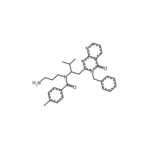 Cc1ccc(C(=O)N(CCCN)C(Cc2nc3ncccc3c(=O)n2Cc2ccccc2)C(C)C)cc1